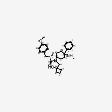 COc1ccc(CN2C[C@]3(CC[C@@](N)(c4ccccc4)CC3)N(CC3(O)CCC3)C2=O)cc1